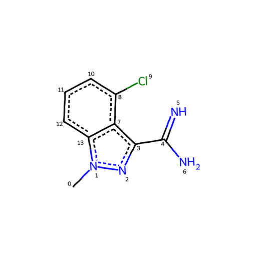 Cn1nc(C(=N)N)c2c(Cl)cccc21